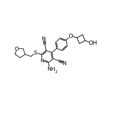 N#Cc1c(N)nc(SCC2CCOC2)c(C#N)c1-c1ccc(OC2CC(O)C2)cc1